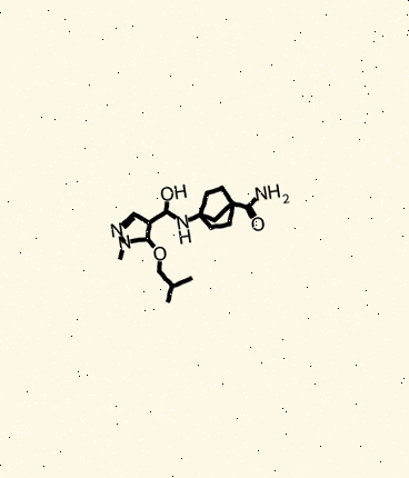 CC(C)COC1C(C(O)NC23CCC(C(N)=O)(CC2)C3)C=NN1C